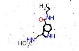 C=CCNC(=O)c1ccc2[nH]cc(CCNC(=O)O)c2c1